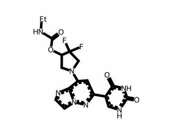 CCNC(=O)OC1CN(c2cc(-c3c[nH]c(=O)[nH]c3=O)nn3ccnc23)CC1(F)F